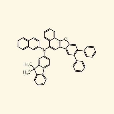 CC1(C)c2ccccc2-c2ccc(N(c3ccc4ccccc4c3)c3cc4c5cc(-c6ccccc6)c(-c6ccccc6)cc5oc4c4ccccc34)cc21